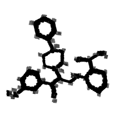 NC(=O)c1ccccc1NCC(C(=O)c1cccc(N)c1)N1CCN(c2ccccc2)CC1